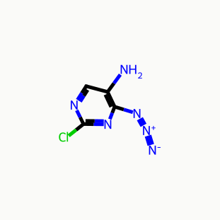 [N-]=[N+]=Nc1nc(Cl)ncc1N